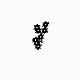 CN(c1ccc(N(c2cccc(-c3ccccc3)c2)c2ccc3ccccc3c2)cc1)c1c2ccccc2cc2ccccc12